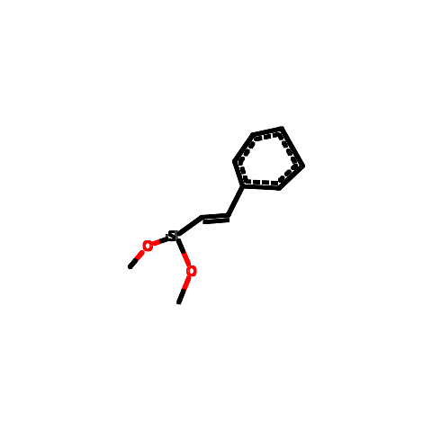 CO[Si](C=Cc1ccccc1)OC